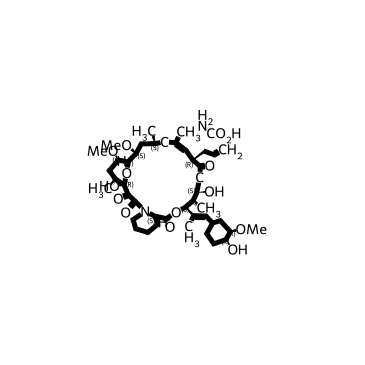 C=CC[C@@H]1C=C(C)C[C@H](C)C[C@H](OC)[C@H]2O[C@@](O)(C(=O)C(=O)N3CCCC[C@H]3C(=O)O[C@H](C(C)=CC3CC[C@@H](O)[C@H](OC)C3)[C@H](C)[C@@H](O)CC1=O)[C@H](C)C[C@@H]2OC.NC(=O)O